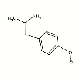 [CH2]C(N)Cc1ccc(OCC)cc1